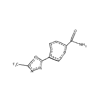 NC(=O)c1ccc(-c2nnc(C(F)(F)F)o2)cc1